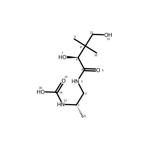 C[C@@H](CNC(=O)[C@@H](O)C(C)(C)CO)NC(=O)O